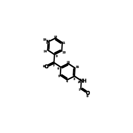 O=CNc1ccc(C(=O)c2cccnc2)cc1